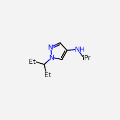 CCC(CC)n1cc(NC(C)C)cn1